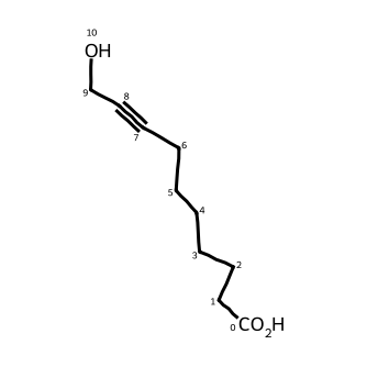 O=C(O)CCCCCCC#CCO